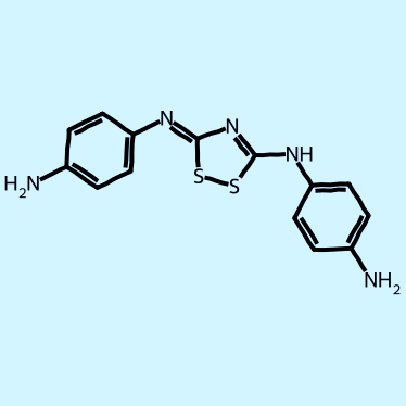 Nc1ccc(N=c2nc(Nc3ccc(N)cc3)ss2)cc1